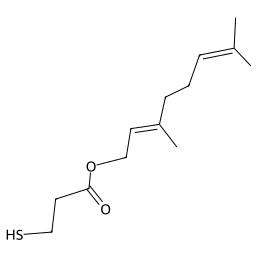 CC(C)=CCC/C(C)=C/COC(=O)CCS